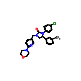 O=C1N(Cc2ccc(N3CCOCC3)nc2)CC(c2cccc(C(F)(F)F)c2)N1c1ccc(Cl)cc1